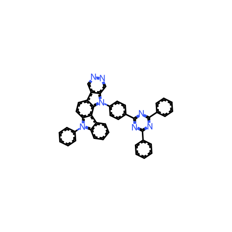 c1ccc(-c2nc(-c3ccccc3)nc(-c3ccc(-n4c5cnncc5c5ccc6c(c7ccccc7n6-c6ccccc6)c54)cc3)n2)cc1